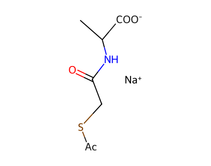 CC(=O)SCC(=O)NC(C)C(=O)[O-].[Na+]